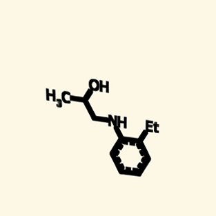 CCc1ccccc1NCC(C)O